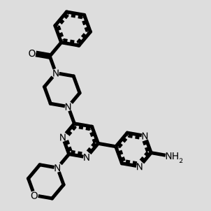 Nc1ncc(-c2cc(N3CCN(C(=O)c4ccccc4)CC3)nc(N3CCOCC3)n2)cn1